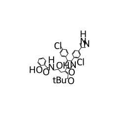 CC(C)(C)C(=O)c1oc2nc(-c3ccc(-c4cn[nH]c4)cc3Cl)c(-c3ccc(Cl)cc3)cc2c1CC(O)CNC(=O)c1ccccc1O